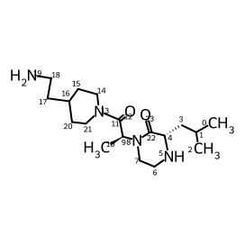 CC(C)C[C@@H]1NCCN([C@@H](C)C(=O)N2CCC(CCN)CC2)C1=O